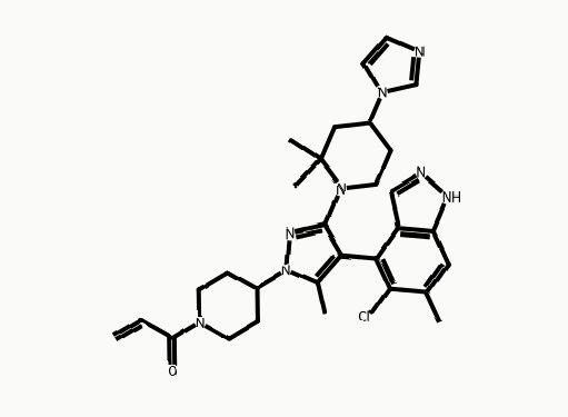 C=CC(=O)N1CCC(n2nc(N3CCC(n4ccnc4)CC3(C)C)c(-c3c(Cl)c(C)cc4[nH]ncc34)c2C)CC1